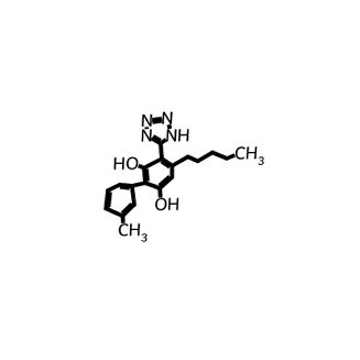 CCCCCc1cc(O)c(-c2cccc(C)c2)c(O)c1-c1nnn[nH]1